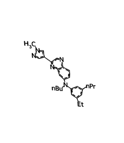 CCCCN(c1cc(CC)cc(CCC)c1)c1ccc2ncc(-c3cnn(C)c3)nc2c1